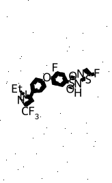 CCn1nc(C(F)(F)F)cc1-c1ccc(Oc2ccc(S(=O)(=O)Nc3ncc(F)s3)cc2F)cc1